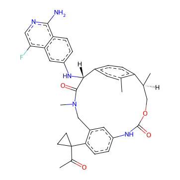 CC(=O)C1(c2ccc3cc2CN(C)C(=O)[C@H](Nc2ccc4c(N)ncc(F)c4c2)c2ccc(c(C)c2)[C@@H](C)COC(=O)N3)CC1